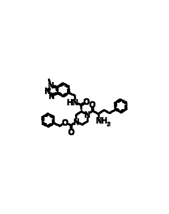 Cn1nnc2cc(CNC(=O)[C@@H]3CN(C(=O)OCc4ccccc4)CCN3C(=O)C(N)CCc3ccccc3)ccc21